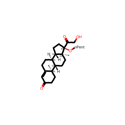 CCCCCO[C@]1(C(=O)CO)CC[C@H]2[C@@H]3CCC4=CC(=O)CC[C@]4(C)[C@H]3CC[C@@]21C